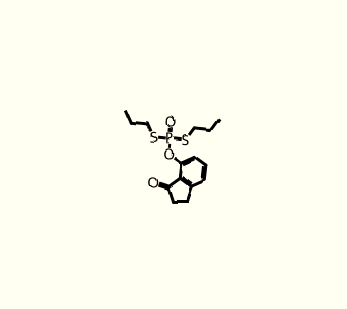 CCCSP(=O)(Oc1cccc2c1C(=O)CC2)SCCC